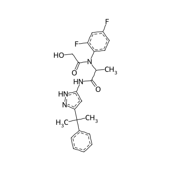 CC(C(=O)Nc1cc(C(C)(C)c2ccccc2)n[nH]1)N(C(=O)CO)c1ccc(F)cc1F